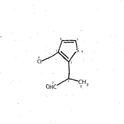 CC(C=O)c1sccc1Cl